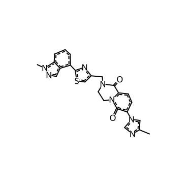 Cc1cn(-c2ccc3n(c2=O)CCN(Cc2csc(-c4cccc5c4cnn5C)n2)C3=O)cn1